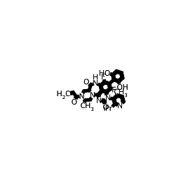 C=CC(=O)N1CC2C(=O)Nc3c(F)c(-c4c(O)cccc4O)c(F)c4c3c(nc(=O)n4-c3c(C)ccnc3C(C)C)N2CC1C